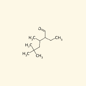 CCC(C=O)C(C)CC(C)(C)C